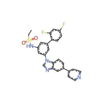 CCS(=O)(=O)Nc1cc(-c2ccc(F)cc2F)cc(-n2cnc3cc(-c4ccncc4)ccc32)c1